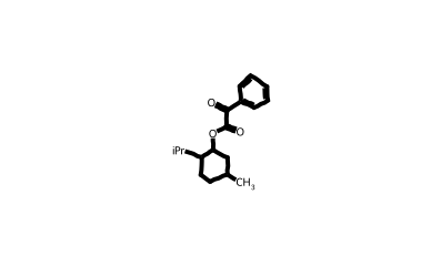 CC1CCC(C(C)C)C(OC(=O)C(=O)c2ccccc2)C1